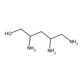 NCC(N)CC(N)CO